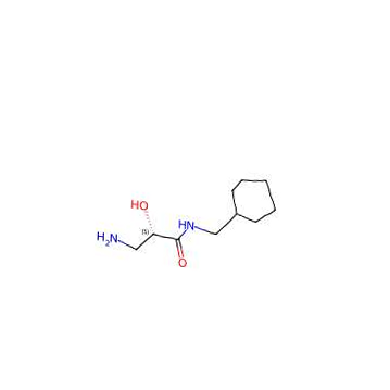 NC[C@H](O)C(=O)NCC1CCCCC1